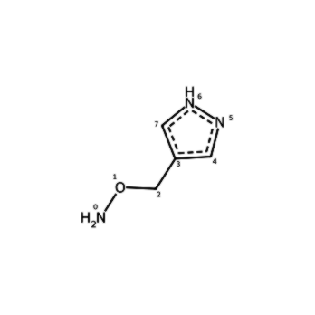 NOCc1cn[nH]c1